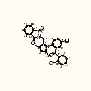 Cc1cc(C)n(-c2ccc(Cl)cc2C(=O)c2ccccc2Cl)c1CN1C(=O)c2ccccc2C1=O